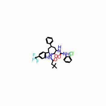 CC(C)(C)CC(=O)NN1C(=O)C(NC(=O)Nc2ccccc2Cl)CC(c2ccccc2)CC1c1ccc(C(F)(F)F)cc1